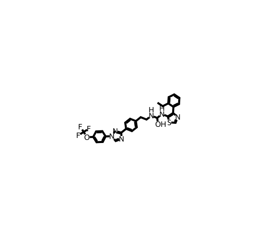 CCc1ccccc1-c1ncsc1NC(O)NCCc1ccc(-c2ncn(-c3ccc(OC(F)(F)F)cc3)n2)cc1